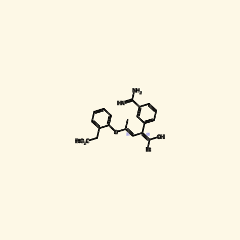 CCOC(=O)Cc1ccccc1O/C(C)=C/C(=C(/O)CC)c1cccc(C(=N)N)c1